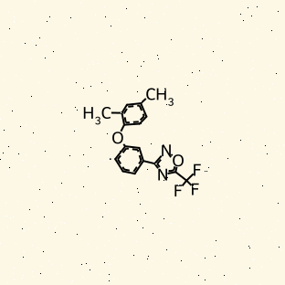 Cc1ccc(Oc2[c]ccc(-c3noc(C(F)(F)F)n3)c2)c(C)c1